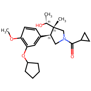 COc1ccc([C@@H]2CN(C(=O)C3CC3)C[C@@]2(C)[C@@H](C)O)cc1OC1CCCC1